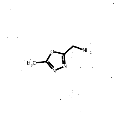 Cc1nnc(CN)o1